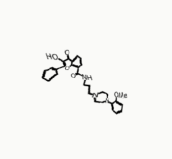 COc1ccccc1N1CCN(CCCNC(=O)c2cccc3c(=O)c(O)c(-c4ccccc4)oc23)CC1